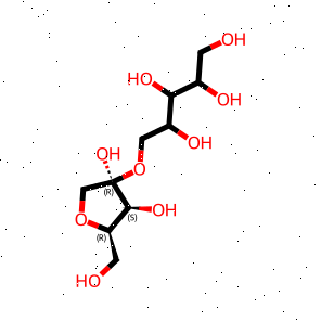 OCC(O)C(O)C(O)CO[C@]1(O)CO[C@H](CO)[C@@H]1O